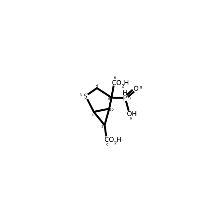 O=C(O)C1C2SCC(C(=O)O)([PH](=O)O)C21